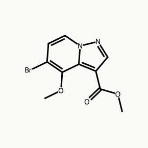 COC(=O)c1cnn2ccc(Br)c(OC)c12